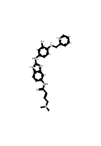 CN(C)C/C=C/C(=O)Nc1ccc2nc(Nc3ccc(OCc4ccccn4)c(F)c3)sc2c1